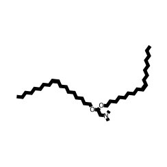 CCCCCCCC/C=C\CCCCCCCCOC(CN(C)C)OCCCCCCCC/C=C\CCCCCCCC